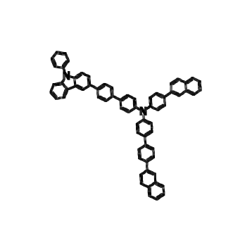 c1ccc(-n2c3ccccc3c3cc(-c4ccc(-c5ccc(N(c6ccc(-c7ccc(-c8ccc9ccccc9c8)cc7)cc6)c6ccc(-c7ccc8ccccc8c7)cc6)cc5)cc4)ccc32)cc1